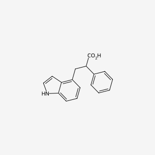 O=C(O)C(Cc1cccc2[nH]ccc12)c1ccccc1